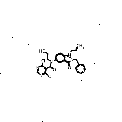 C=CCn1c2ccc(N(CCO)C(=O)c3c(Cl)ncnc3Cl)cc2c(=O)n1Cc1ccccc1